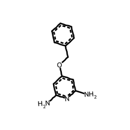 Nc1cc(OCc2ccccc2)cc(N)n1